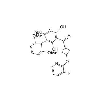 CCCCc1nc(O)c(C(=O)N2CC(Oc3ncccc3F)C2)c(O)c1-c1c(OC)cccc1OC